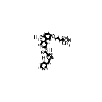 Cc1ccc(OCCCC(C)(C)O)cc1-c1ccnc(NC(=O)c2nnc(Cc3cccnc3)[nH]2)c1